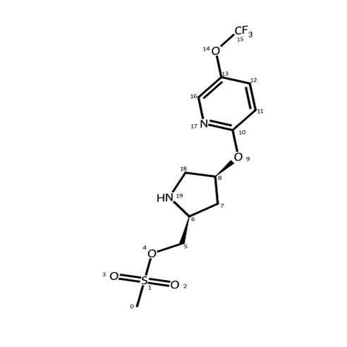 CS(=O)(=O)OC[C@@H]1C[C@H](Oc2ccc(OC(F)(F)F)cn2)CN1